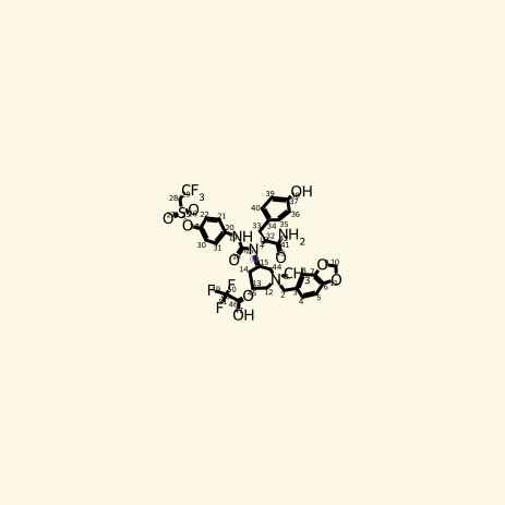 C[N+]1(Cc2ccc3c(c2)OCO3)CCC/C(=[N+](\C(=O)Nc2ccc(OS(=O)(=O)CC(F)(F)F)cc2)[C@@H](Cc2ccc(O)cc2)C(N)=O)C1.O=C(O)C(F)(F)F